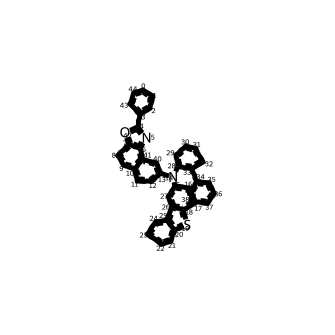 c1ccc(-c2nc3c(ccc4ccc(N(c5ccc6sc7ccccc7c6c5)c5ccccc5-c5ccccc5)cc43)o2)cc1